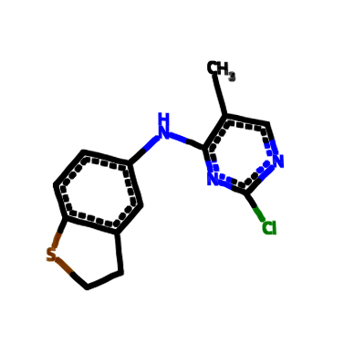 Cc1cnc(Cl)nc1Nc1ccc2c(c1)CCS2